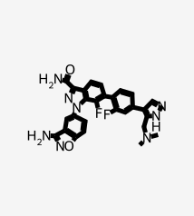 CN(C)Cc1[nH]ncc1-c1ccc(-c2ccc3c(C(N)=O)nn(-c4ccc5onc(N)c5c4)c3c2F)c(F)c1